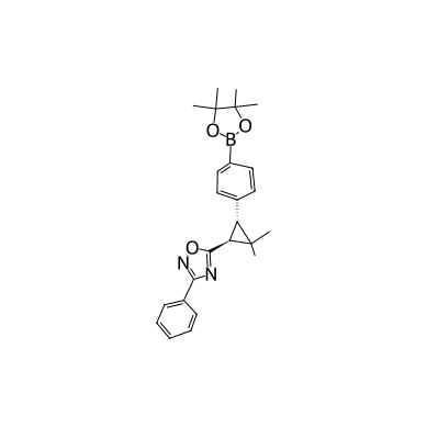 CC1(C)[C@@H](c2ccc(B3OC(C)(C)C(C)(C)O3)cc2)[C@@H]1c1nc(-c2ccccc2)no1